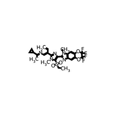 C=C/C(=C\N=C(/C)C1CC1)c1nc(-c2nc3cc4c(cc3n2C)OC(F)(F)C(F)(F)O4)c(S(=O)(=O)CC)n1C